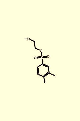 Cc1ccc(S(=O)(=O)OCCO)cc1C